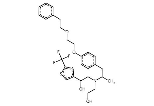 CC(Cc1ccc(OCCOCCc2ccccc2)cc1)N(CCO)CC(O)c1csc(C(F)(F)F)n1